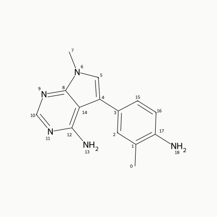 Cc1cc(-c2cn(C)c3ncnc(N)c23)ccc1N